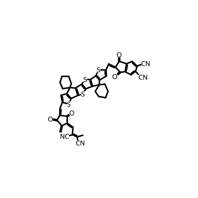 C=C1C(=O)/C(=C/c2cc3c(s2)-c2sc4c5c(sc4c2C32CCCCC2)-c2sc(C=C3C(=O)c4cc(C#N)c(C#N)cc4C3=O)cc2C52CCCCC2)C(=O)/C1=C/C(C#N)=C(\C)C#N